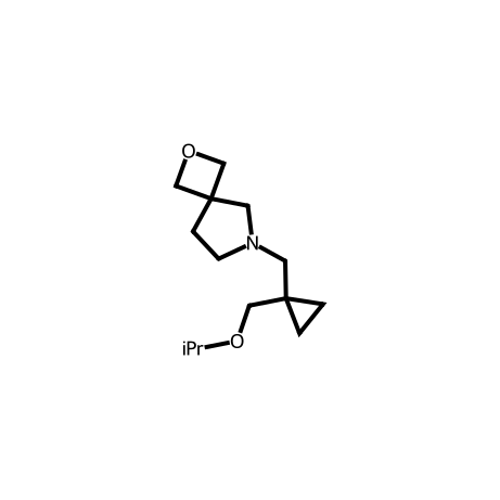 CC(C)OCC1(CN2CCC3(COC3)C2)CC1